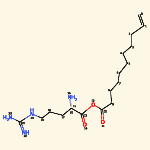 C=CCCCCCCCCC(=O)OC(=O)[C@@H](N)CCCNC(=N)N